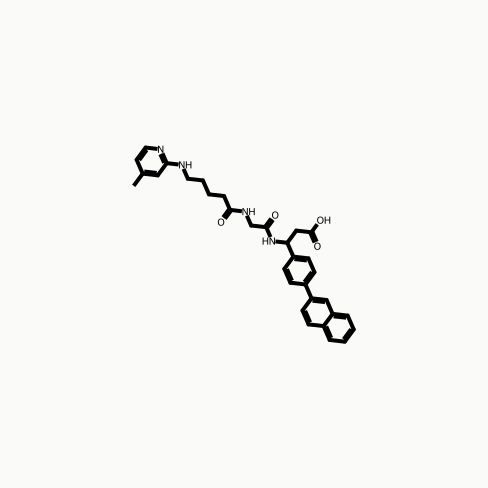 Cc1ccnc(NCCCCC(=O)NCC(=O)NC(CC(=O)O)c2ccc(-c3ccc4ccccc4c3)cc2)c1